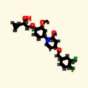 COc1cc(-n2ccc(OCc3ccc(F)c(F)c3)cc2=O)ccc1OC[C@H](O)C1CC1